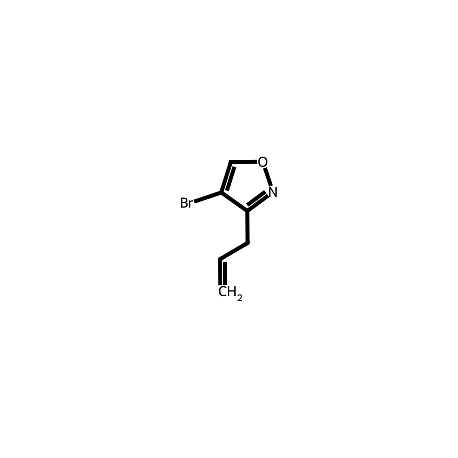 C=CCc1nocc1Br